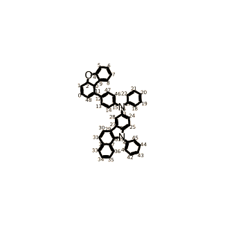 C1=CC2Oc3ccccc3C2C(c2ccc(N(c3ccccc3)c3ccc4c(c3)c3ccc5ccccc5c3n4-c3ccccc3)cc2)=C1